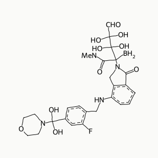 BC(C(=O)NC)(N1Cc2c(NCc3ccc(C(O)(O)N4CCOCC4)cc3F)cccc2C1=O)C(O)(O)C(O)(O)C=O